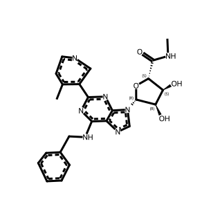 CNC(=O)[C@H]1O[C@@H](n2cnc3c(NCc4ccccc4)nc(-c4cnccc4C)nc32)[C@H](O)[C@@H]1O